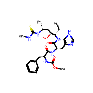 CCCNC(=S)N[C@@H](C[C@H](O)[C@H](CC(C)C)NC(=O)[C@H](Cc1c[nH]cn1)NC(=O)[C@H](Cc1ccccc1)NC(=O)OC(C)(C)C)C(C)C